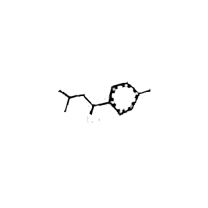 [CH2]C(C)CC(N)c1ccc(C)cc1